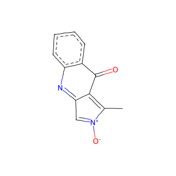 CC1=C2C(=O)c3ccccc3N=C2C=[N+]1[O-]